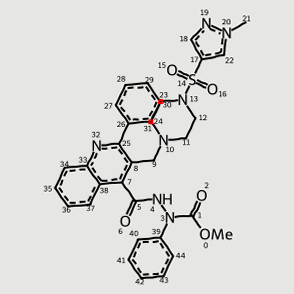 COC(=O)N(NC(=O)c1c(CN2CCN(S(=O)(=O)c3cnn(C)c3)CC2)c(-c2ccccc2)nc2ccccc12)c1ccccc1